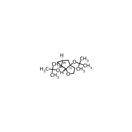 CC(C)(C)O[C@@]12CCO[C@@H]1[C@@]1(OC(C)(C)C)C[C@H]1C2